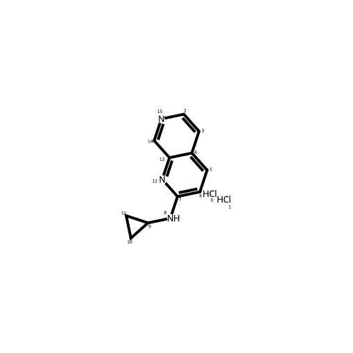 Cl.Cl.c1cc2ccc(NC3CC3)nc2cn1